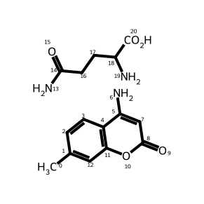 Cc1ccc2c(N)cc(=O)oc2c1.NC(=O)CCC(N)C(=O)O